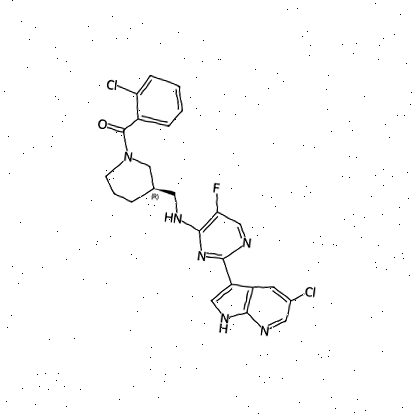 O=C(c1ccccc1Cl)N1CCC[C@H](CNc2nc(-c3c[nH]c4ncc(Cl)cc34)ncc2F)C1